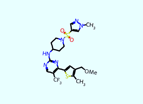 COCc1cc(-c2nc(NC3CCN(S(=O)(=O)c4cnn(C)c4)CC3)ncc2C(F)(F)F)sc1C